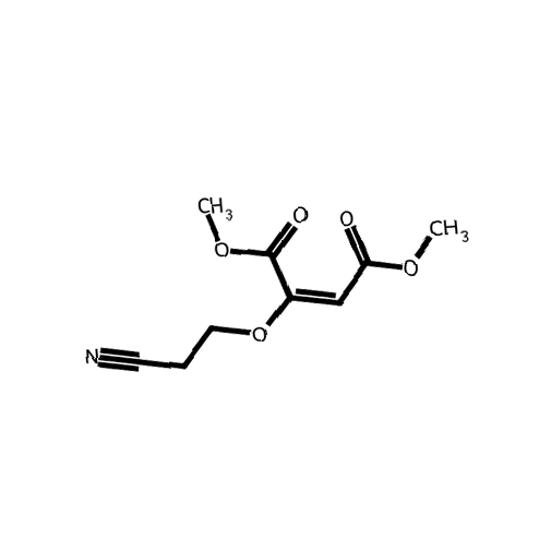 COC(=O)/C=C(/OCCC#N)C(=O)OC